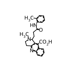 Cc1ccccc1NC(=O)CCC1c2c(nc3ccccc3c2C(=O)O)CCN1C